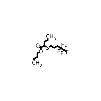 CCCCOC(=O)C(CCC)SCCCC(F)(F)C(F)(F)F